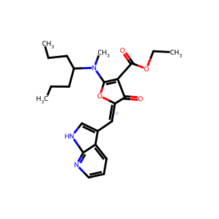 CCCC(CCC)N(C)C1=C(C(=O)OCC)C(=O)/C(=C/c2c[nH]c3ncccc23)O1